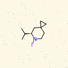 CC(C)[C@H]1CC2(CCN1I)CC2